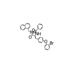 O=C(NCc1cccc2ccccc12)C(=Cc1ccc(Oc2ccccc2Br)cc1)NC(=O)c1ccccc1